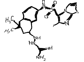 CC1(C)CC(NNC(=N)N)c2cc(NS(=O)(=O)c3c(I)nc4sccn34)ccc21